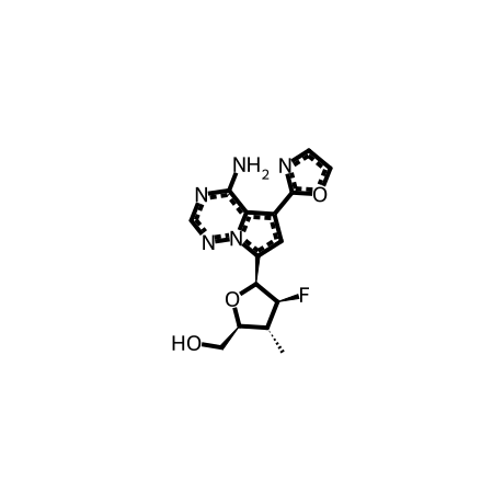 C[C@H]1[C@H](F)[C@H](c2cc(-c3ncco3)c3c(N)ncnn23)O[C@@H]1CO